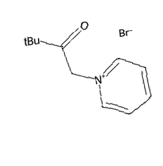 CC(C)(C)C(=O)C[n+]1ccccc1.[Br-]